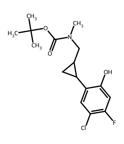 CN(CC1CC1c1cc(Cl)c(F)cc1O)C(=O)OC(C)(C)C